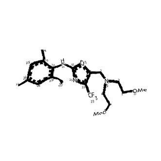 COCCN(CCOC)Cc1oc(Nc2c(C)cc(C)cc2C)nc1C(F)(F)F